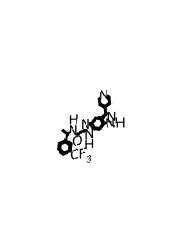 CC(NC(=O)c1nc2cc3c(-c4ccncc4)n[nH]c3cc2[nH]1)c1cccc(C(F)(F)F)c1